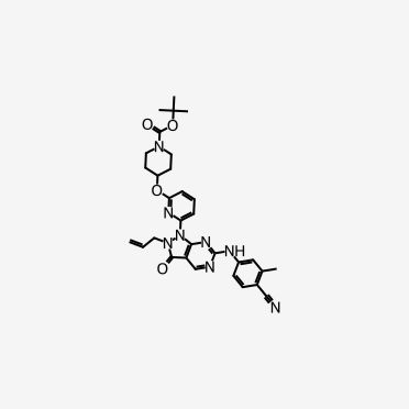 C=CCn1c(=O)c2cnc(Nc3ccc(C#N)c(C)c3)nc2n1-c1cccc(OC2CCN(C(=O)OC(C)(C)C)CC2)n1